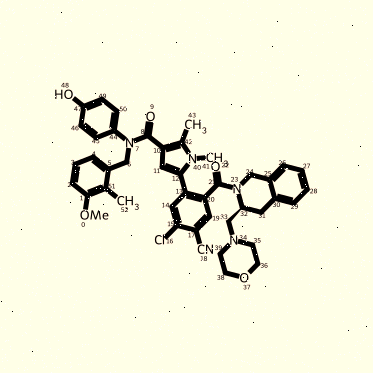 COc1cccc(CN(C(=O)c2cc(-c3cc(Cl)c(C#N)cc3C(=O)N3Cc4ccccc4C[C@H]3CN3CCOCC3)n(C)c2C)c2ccc(O)cc2)c1C